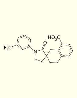 O=C(O)c1cccc2c1CC1(CC2)CCN(c2cccc(C(F)(F)F)c2)C1=O